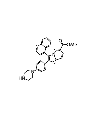 COC(=O)c1ccc2nc(-c3ccc(N4CCNCC4)cc3)c(-c3ccnc4ccccc34)n2n1